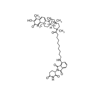 CC1=C(O)C(=O)C=C2C1=CC=C1[C@@]2(C)CC[C@@]2(C)[C@@H]3C[C@](C)(C(=O)CCCCCCCCCNc4cccc5c4C(=O)N(C4CCC(=O)NC4=O)C5=O)CC[C@]3(C)CC[C@]12C